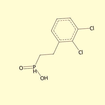 O=[PH](O)CCc1cccc(Cl)c1Cl